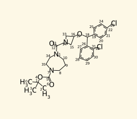 CC(C)(C)OC(=O)N1CCCN(C(=O)N2CC(OC(c3ccc(Cl)cc3)c3ccccc3Cl)C2)CC1